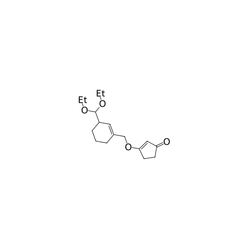 CCOC(OCC)C1C=C(COC2=CC(=O)CC2)CCC1